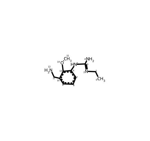 CCN=C(N)Nc1cccc(CN)c1OC